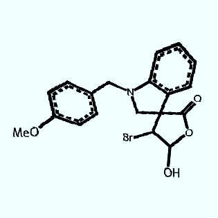 COc1ccc(CN2CC3(C(=O)OC(O)C3Br)c3ccccc32)cc1